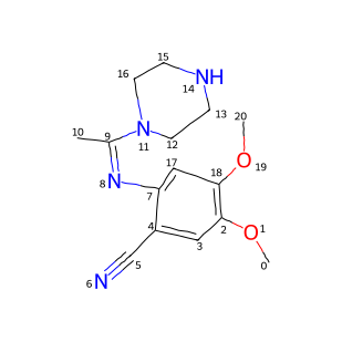 COc1cc(C#N)c(N=C(C)N2CCNCC2)cc1OC